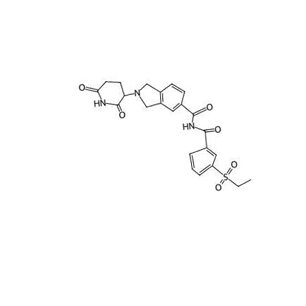 CCS(=O)(=O)c1cccc(C(=O)NC(=O)c2ccc3c(c2)CN(C2CCC(=O)NC2=O)C3)c1